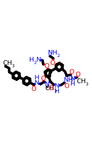 CCCCc1ccc(-c2ccc(C(=O)NCC(=O)N(C)C3C(=O)NCC(=O)NC(C(=O)NC(C)=O)Cc4ccc(OCCN)c(c4)-c4cc3ccc4OCCN)cc2)cc1